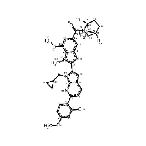 COc1ccc(-c2ccc3cc(-c4nc5cc(C(=O)N6C[C@H]7CC[C@@H]6[C@@H]7N)cc(OC)c5n4C)n(CC4CC4)c3n2)c(Cl)c1